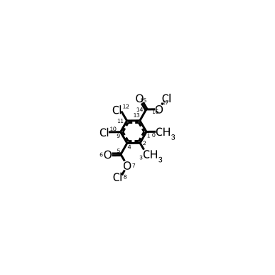 Cc1c(C)c(C(=O)OCl)c(Cl)c(Cl)c1C(=O)OCl